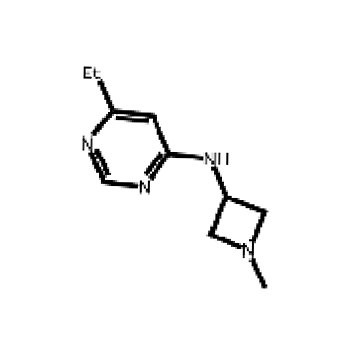 CCc1cc(NC2CN(C)C2)ncn1